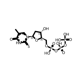 Cc1cn([C@H]2C[C@H](O)[C@@H](COP(=O)(O)OP(=O)(O)OP(=O)(O)O)O2)c(=S)[nH]c1=O